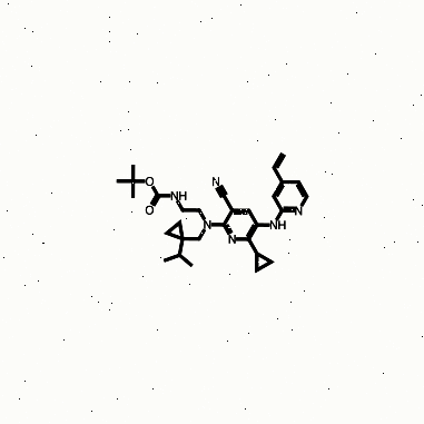 C=Cc1ccnc(Nc2cc(C#N)c(N(CCNC(=O)OC(C)(C)C)CC3(C(C)C)CC3)nc2C2CC2)c1